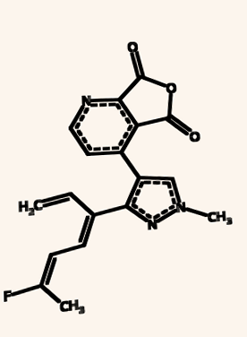 C=C/C(=C\C=C(/C)F)c1nn(C)cc1-c1ccnc2c1C(=O)OC2=O